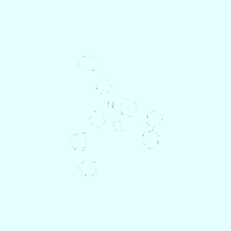 Cc1cc(-c2cccc(-c3ccccc3)c2)cc(C)c1N(c1ccc2c(c1)C(C)(C)c1ccccc1-2)c1ccc2c(c1)C1(c3ccccc3CCc3ccccc31)c1ccccc1-2